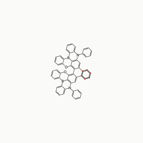 c1ccc(-c2cc3c4c(c2-c2c(-c5ccccc5)cc5c6c2Oc2ccccc2B6c2ccccc2N5c2ccccc2)Oc2ccccc2B4c2ccccc2N3c2ccccc2)cc1